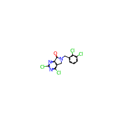 O=C1c2nc(Cl)nc(Cl)c2CN1Cc1cccc(Cl)c1Cl